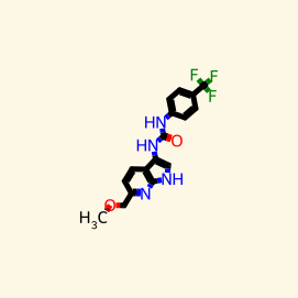 COCc1ccc2c(NC(=O)Nc3ccc(C(F)(F)F)cc3)c[nH]c2n1